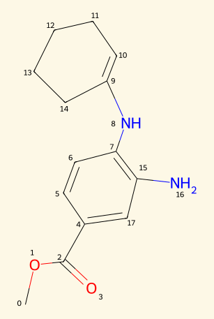 COC(=O)c1ccc(NC2=CCCCC2)c(N)c1